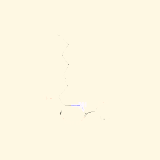 CCCCCCCCCCCCCCC[C@@H](O)[C@H](CO)NC(=O)[C@H](O)CCCCCCC